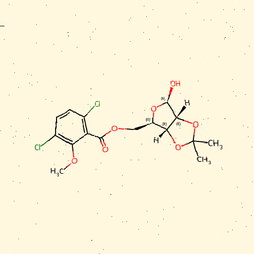 COc1c(Cl)ccc(Cl)c1C(=O)OC[C@H]1O[C@@H](O)[C@@H]2OC(C)(C)O[C@@H]21